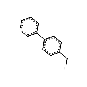 NCc1ccc(-c2cc[c]nc2)cc1